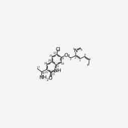 C=N/C(=C\C=C/C)COc1cc2[nH]c(=O)c(C(C)N)cc2cc1Cl